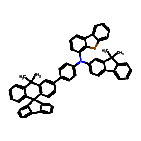 CC1(C)c2ccccc2-c2ccc(N(c3ccc(-c4ccc5c(c4)C(C)(C)c4ccccc4C54c5ccccc5-c5ccccc54)cc3)c3cccc4c3sc3ccccc34)cc21